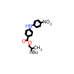 CCCCC(C)COC(=O)c1ccc(Nc2ccc([N+](=O)[O-])cc2)cc1